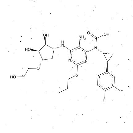 CCCSc1nc(N[C@@H]2C[C@H](OCCO)[C@@H](O)[C@H]2O)c(N)c(N(C(=O)O)[C@@H]2C[C@H]2c2ccc(F)c(F)c2)n1